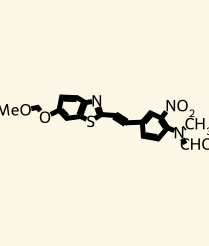 COCOc1ccc2nc(C#Cc3ccc(N(C)C=O)c([N+](=O)[O-])c3)sc2c1